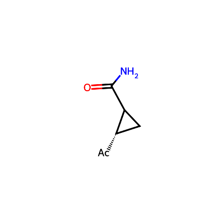 CC(=O)[C@H]1CC1C(N)=O